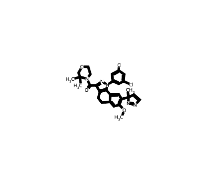 COc1cc2c(cc1C1(C)C=CN=N1)-c1c(c(C(=O)N3CCOCC3(C)C)nn1-c1cc(Cl)cc(Cl)c1)CC2